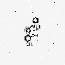 CCC(O)(Cc1cn(-c2ccc(C)cc2O)nn1)c1ccccc1